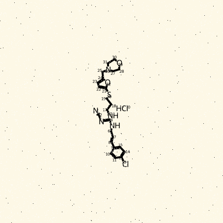 Cl.N#CN=C(NCC=Cc1ccc(Cl)cc1)NCCCSc1ccc(CN2CCOCC2)o1